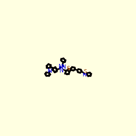 c1ccc(-c2nc(-c3ccc4c(c3)c3ccccc3n4-c3ccccc3)nc(-c3cccc4c3sc3ccc(-c5ccc(-c6nc7ccccc7s6)cc5)cc34)n2)cc1